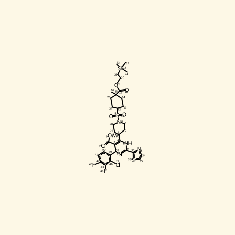 COC(=O)C1=C(C2CCN(S(=O)(=O)C3CCC(C)(C(=O)OCC[Si](C)(C)C)CC3)CC2)NC(c2nccs2)=NC1c1ccc(F)c(F)c1Cl